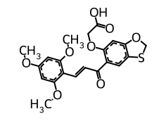 COc1cc(OC)c(/C=C/C(=O)c2cc3c(cc2OCC(=O)O)OCS3)c(OC)c1